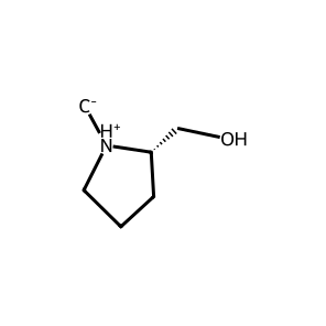 [CH2-][NH+]1CCC[C@H]1CO